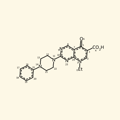 CCn1cc(C(=O)O)c(=O)c2cnc(N3CCN(c4ccccc4)CC3)nc21